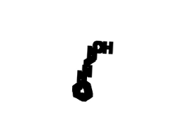 ON=CCN=Nc1ccccc1